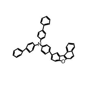 c1ccc(-c2ccc(N(c3ccc(-c4ccccc4)cc3)c3ccc(-c4ccc5oc6ccc7ccccc7c6c5c4)cc3)cc2)cc1